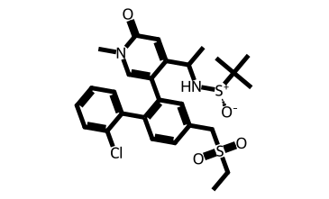 CCS(=O)(=O)Cc1ccc(-c2ccccc2Cl)c(-c2cn(C)c(=O)cc2C(C)N[S@@+]([O-])C(C)(C)C)c1